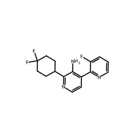 Nc1c(-c2ncccc2F)ccnc1C1CCC(F)(F)CC1